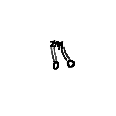 [O]=[Tl].[O]=[Zn]